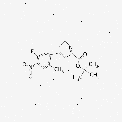 Cc1cc([N+](=O)[O-])c(F)cc1C1=CC(C(=O)OC(C)(C)C)=NCC1